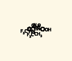 CC(NCc1c(C(=O)N[C@H]2CC[C@@H](O)CC2)noc1-c1ccc(C(F)(F)F)cc1)C(F)(F)F